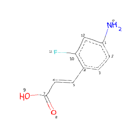 Nc1ccc(C=CC(=O)O)c(F)c1